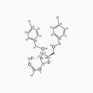 CC(=O)OC1S[C@H](COCc2ccc(C)cc2)[C@@H](OCc2ccc(C)cc2)[C@H]1F